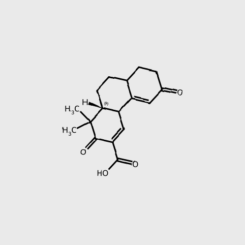 CC1(C)C(=O)C(C(=O)O)=CC2C3=CC(=O)CCC3CC[C@H]21